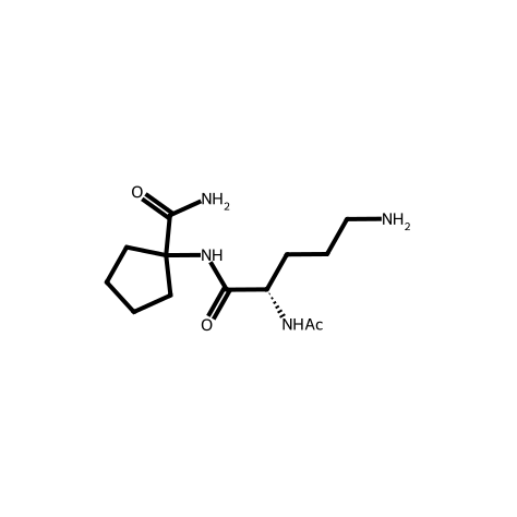 CC(=O)N[C@@H](CCCN)C(=O)NC1(C(N)=O)CCCC1